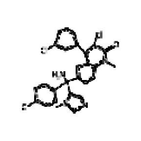 Cn1cncc1C(N)(c1ccc(Cl)cc1)c1ccc2c(c1)c(-c1cccc(Cl)c1)c(Cl)c(=O)n2C